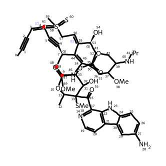 CC#C/C=C\C#C[C@H](OC1OC(C)C(SC)(C(=O)c2nccc3c2[nH]c2ccc(N)cc23)C(O)C1OC1CC(OC)C(NC(C)C)CO1)C1=C(NC(=O)OC)C(=O)C[C@H](O)/C1=C/CS(C)(=S)=S